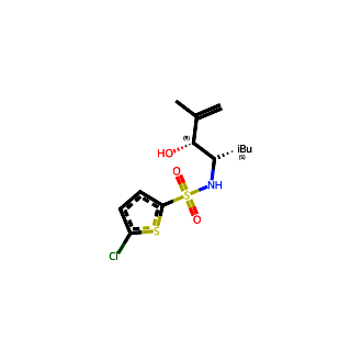 C=C(C)[C@@H](O)C(NS(=O)(=O)c1ccc(Cl)s1)[C@@H](C)CC